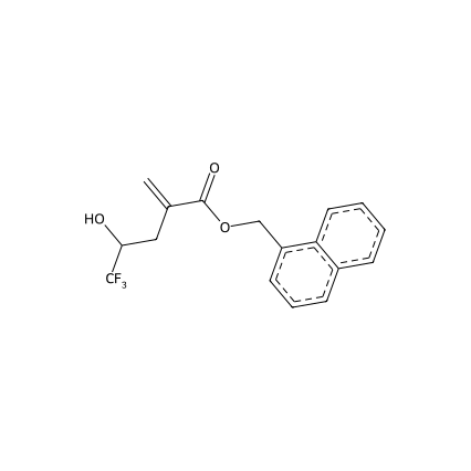 C=C(CC(O)C(F)(F)F)C(=O)OCc1cccc2ccccc12